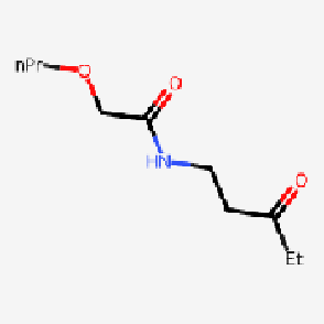 [CH2]CCOCC(=O)NCCC(=O)CC